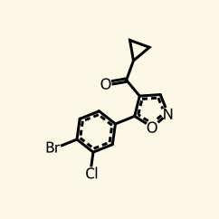 O=C(c1cnoc1-c1ccc(Br)c(Cl)c1)C1CC1